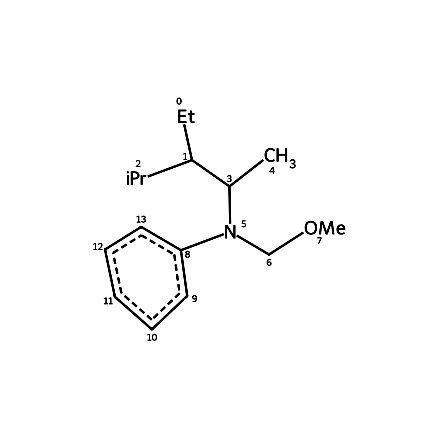 CCC(C(C)C)C(C)N(COC)c1ccccc1